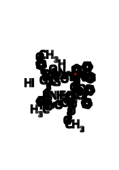 COCCOCOc1c(F)cc(C(ON=S2C=C(CC(=O)N[C@H]3C(=O)N4C(C(=O)OCc5ccc(OC)cc5)=C(C=CCN5c6cccnc6SC5N)CSC34)N=C2NC(c2ccccc2)(c2ccccc2)c2ccccc2)C(=O)OC(c2ccccc2)c2ccccc2)c(F)c1OCOCCOC.I